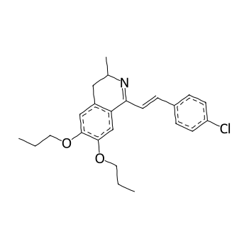 CCCOc1cc2c(cc1OCCC)C(C=Cc1ccc(Cl)cc1)=NC(C)C2